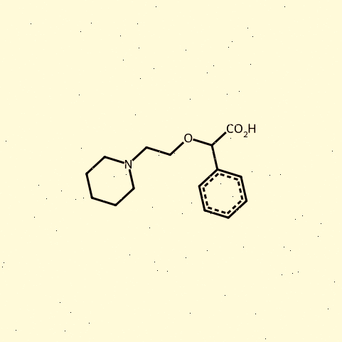 O=C(O)C(OCCN1CCCCC1)c1ccccc1